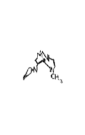 Cn1ccn2ncc(N=O)c12